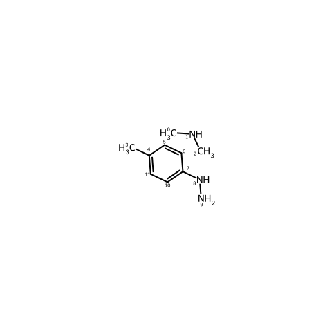 CNC.Cc1ccc(NN)cc1